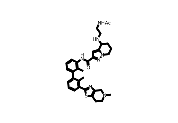 CC(=O)NCCNC1CCCn2nc(C(=O)Nc3cccc(-c4cccc(-c5nc6c(s5)CCN(C)C6)c4C)c3C)cc21